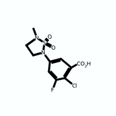 CN1CCN(c2cc(F)c(Cl)c(C(=O)O)c2)S1(=O)=O